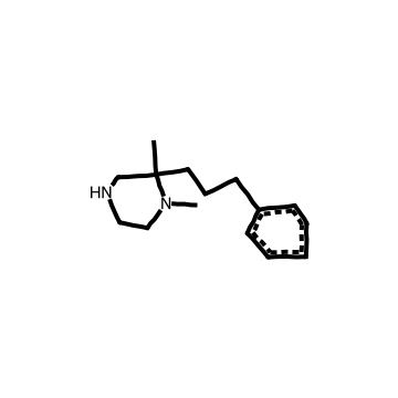 CN1CCNCC1(C)CCCc1ccccc1